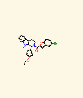 CCOc1ccc([C@@H]2c3c(c4ccccc4n3C)CCN2C(=O)c2cc3cc(Br)ccc3o2)cc1